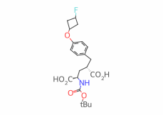 CC(C)(C)OC(=O)N[C@H](C[C@H](Cc1ccc(OC2CC(F)C2)cc1)C(=O)O)C(=O)O